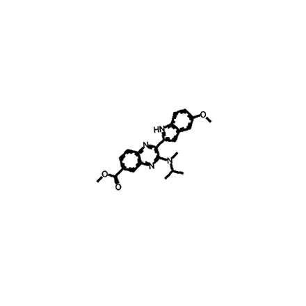 COC(=O)c1ccc2nc(-c3cc4cc(OC)ccc4[nH]3)c(N(C)C(C)C)nc2c1